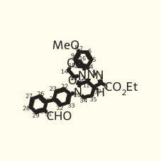 CCOC(=O)C1=NN(c2ccc(OC)cc2)[C@@]2(N3CCOCC3)C(=O)N(c3ccc(-c4ccccc4C=O)cc3)CC[C@@H]12